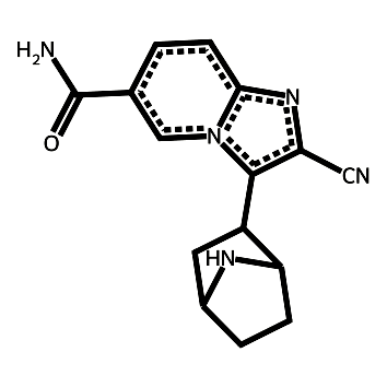 N#Cc1nc2ccc(C(N)=O)cn2c1C1CC2CCC1N2